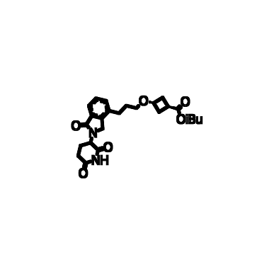 CC(C)COC(=O)[C@H]1C[C@H](OCCCc2cccc3c2CN(C2CCC(=O)NC2=O)C3=O)C1